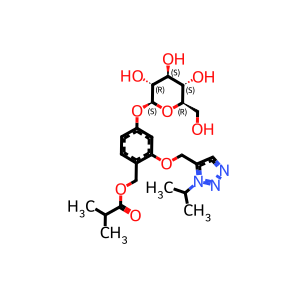 CC(C)C(=O)OCc1ccc(O[C@@H]2O[C@H](CO)[C@@H](O)[C@H](O)[C@H]2O)cc1OCc1cnnn1C(C)C